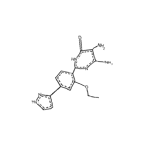 CCOc1cc(-c2cc[nH]n2)ccc1-c1nc(N)c(N)c(=O)[nH]1